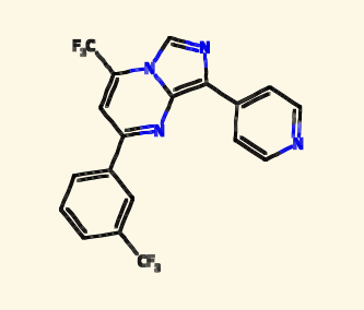 FC(F)(F)c1cccc(-c2cc(C(F)(F)F)n3cnc(-c4ccncc4)c3n2)c1